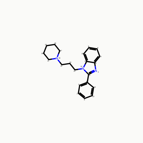 c1ccc(-c2nc3ccccc3n2CCCN2CCCCC2)cc1